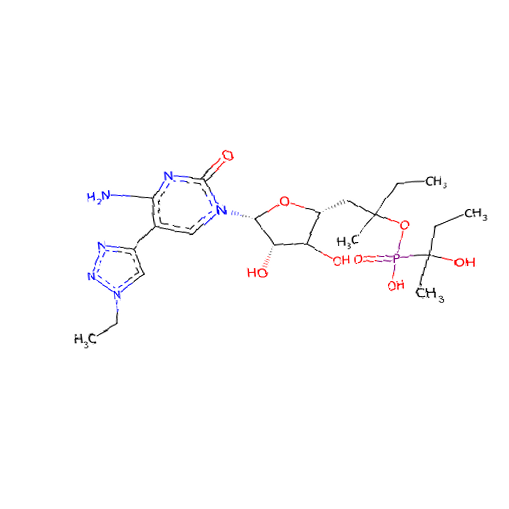 CCn1cc(-c2cn([C@@H]3O[C@H](CC(C)(CC)OP(=O)(O)C(C)(O)CC)C(O)[C@@H]3O)c(=O)nc2N)nn1